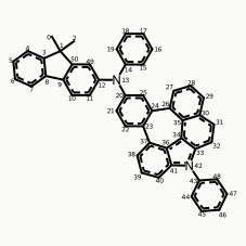 CC1(C)c2ccccc2-c2ccc(N(c3ccccc3)c3ccc4c(c3)-c3cccc5ccc6c(c35)c3c-4cccc3n6-c3ccccc3)cc21